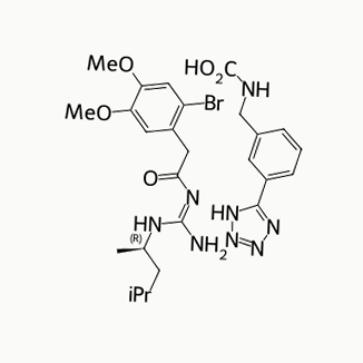 COc1cc(Br)c(CC(=O)N=C(N)N[C@H](C)CC(C)C)cc1OC.O=C(O)NCc1cccc(-c2nnn[nH]2)c1